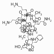 CC[C@H](C)[C@H](NC(=O)[C@H](Cc1ccccc1)NC(=O)[C@H](C)NC(=O)C(C)(C)NC(=O)[C@H](CCC(N)=O)NC(=O)[C@H](C)NC(=O)[C@H](CCCCN)NC(=O)[C@H](CCCCN)NC(=O)[C@H](CC(=O)O)NC(=O)[C@@H](N)CC(C)C)C(=O)O